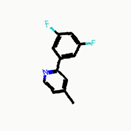 Cc1ccnc(-c2cc(F)cc(F)c2)c1